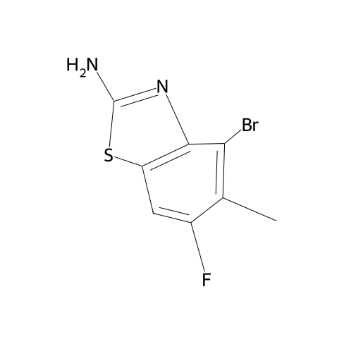 Cc1c(F)cc2sc(N)nc2c1Br